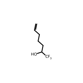 [CH]=CCCCC(O)C(F)(F)F